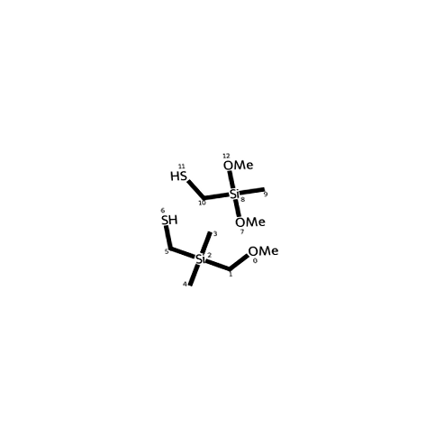 COC[Si](C)(C)CS.CO[Si](C)(CS)OC